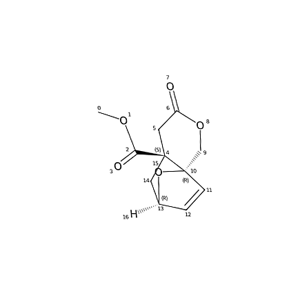 COC(=O)[C@@]12CC(=O)OC[C@@]13C=C[C@@H](C2)O3